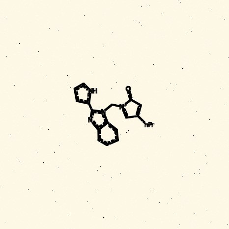 CCCC1=CC(=O)[N+](Cn2c(-c3ccc[nH]3)nc3ccccc32)=C1